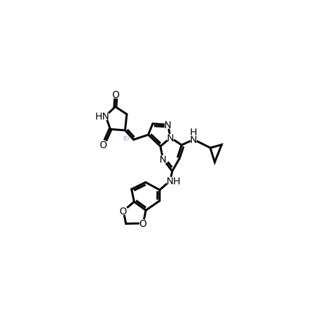 O=C1C/C(=C\c2cnn3c(NC4CC4)cc(Nc4ccc5c(c4)OCO5)nc23)C(=O)N1